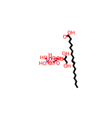 CCCCCCCCC=CCCCCCCCC(=O)O.O=P(O)(O)O.O=P(O)(O)O.OCC(O)CO